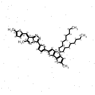 CCCCCCCC[Si]1(CCCCCCCC)c2cc(C)sc2-c2sc(-c3ccc(-c4nnc5/c(=C/c6ccc(C)s6)c(C)nn45)s3)cc21